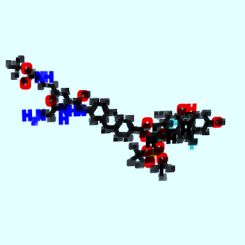 CC(C)(C)OC(=O)NCCCC[C@H](NC(=O)CN)C(=O)Nc1cccc(Cc2ccc([C@@H]3O[C@@H]4C[C@H]5[C@@H]6C[C@H](F)C7=CC(=O)C=C[C@]7(C)[C@@]6(F)[C@@H](O)C[C@]5(C)[C@]4(C(=O)COP(=O)(OC(C)(C)C)OC(C)(C)C)O3)cc2)c1